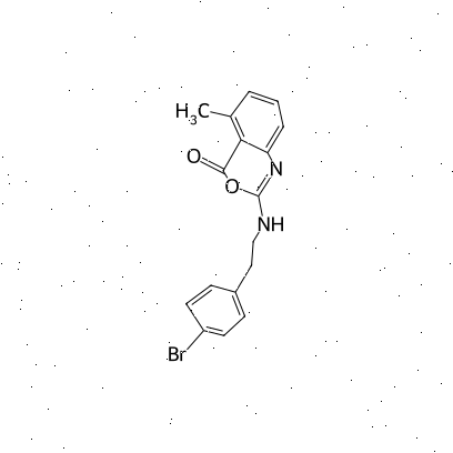 Cc1cccc2nc(NCCc3ccc(Br)cc3)oc(=O)c12